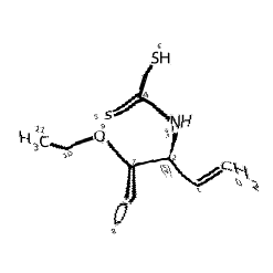 C=C[C@H](NC(=S)S)C(=O)OCC